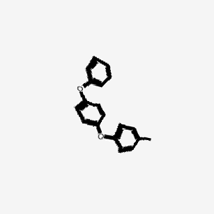 Cc1ccc(Oc2ccc(Oc3ccccc3)cc2)cc1